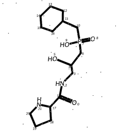 O=C(NCC(O)CP(=O)(O)CC1CCCCC1)C1CCCN1